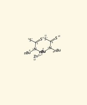 CCCCN(CCCC)C(=S)[S-].CCCCN(CCCC)C(=S)[S-].[Zn+2]